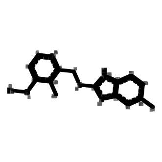 CCOc1ccnc(CSc2nc3cc(C)ccc3[nH]2)c1C